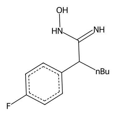 CCCCC(C(=N)NO)c1ccc(F)cc1